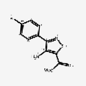 COC(=O)c1snc(-c2ccc(Br)cc2)c1N